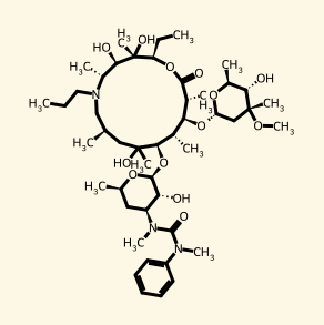 CCCN1C[C@H](C)CC(C)(O)[C@H](O[C@@H]2O[C@H](C)C[C@H](N(C)C(=O)N(C)c3ccccc3)[C@H]2O)[C@@H](C)[C@H](O[C@H]2C[C@@](C)(OC)[C@@H](O)[C@H](C)O2)[C@@H](C)C(=O)O[C@H](CC)[C@@](C)(O)[C@H](O)[C@H]1C